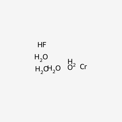 F.O.O.O.O.[Cr]